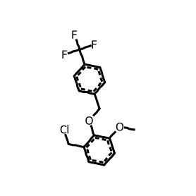 COc1cccc(CCl)c1OCc1ccc(C(F)(F)F)cc1